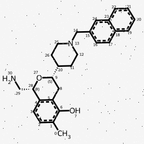 Cc1ccc2c(c1O)C[C@@H](C1CCN(Cc3ccc4ccccc4c3)CC1)O[C@H]2CN